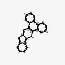 C1=C2C=c3ccccc3=C2Cc2c1c1ccccc1c1ccccc21